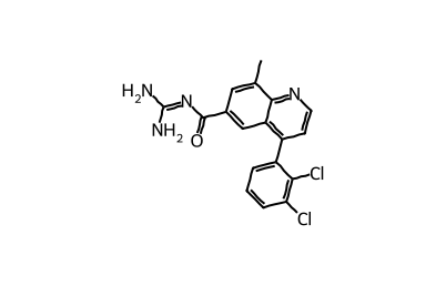 Cc1cc(C(=O)N=C(N)N)cc2c(-c3cccc(Cl)c3Cl)ccnc12